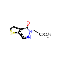 O=C(O)Cn1ncc2sccc2c1=O